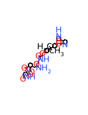 CC(C)(c1ccc(OCC(=O)NCCOC(N)Cc2cccc3c2C(=O)N(C2CCC(=O)NC2=O)C3=O)cc1)c1ccc(OCc2ncccc2C2CNCCO2)cc1